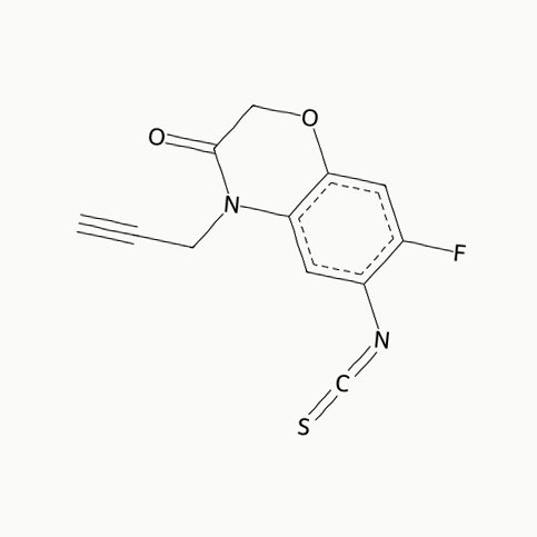 C#CCN1C(=O)COc2cc(F)c(N=C=S)cc21